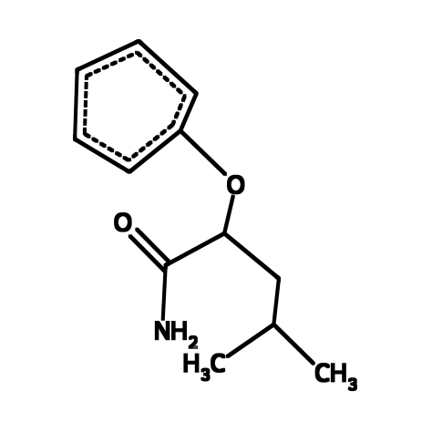 CC(C)CC(Oc1ccccc1)C(N)=O